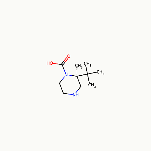 CC(C)(C)[C@@]1(C)CNCCN1C(=O)O